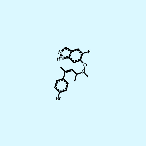 CC(=CC(C)N(C)Oc1cc2[nH]ncc2cc1F)c1ccc(Br)cc1